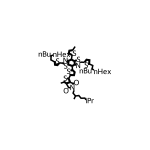 CCCCCCC(CCCC)Cc1ccc(-c2nc3c(-c4ccc(-c5sc(C)c6c5C(=O)N(CCC(C)CCCC(C)C)C6=O)s4)c4sc(-c5ccc(CC(CCCC)CCCCCC)s5)nc4c(-c4ccc(C)s4)c3s2)s1